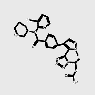 CC(OC(=O)O)n1nnnc1-c1c(-c2ccc(C(=O)N(c3ncccc3Cl)[C@@H]3CCCNC3)cc2)cnn1C